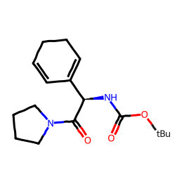 CC(C)(C)OC(=O)N[C@@H](C(=O)N1CCCC1)C1=CCCC=C1